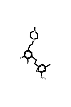 Cc1cc(N)nc(CCc2cc(CCN3CCN(C)CC3)cc(F)c2F)c1